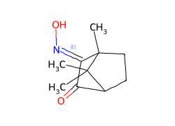 CC12CCC(C(=O)/C1=N/O)C2(C)C